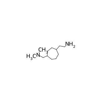 CN(C)CC1CCCC(CCN)CC1